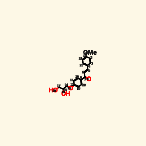 COc1ccc(/C=C/C(=O)c2ccc(OCC(O)CO)cc2)cc1